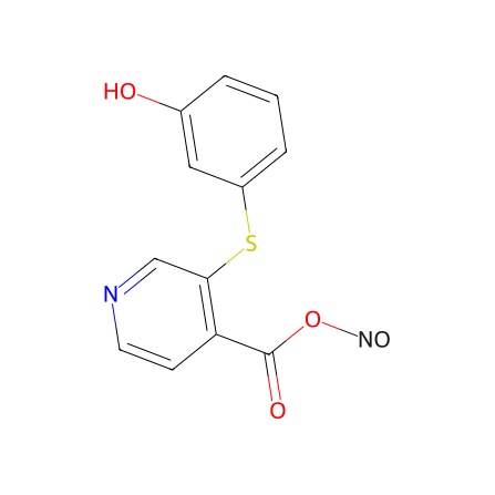 O=NOC(=O)c1ccncc1Sc1cccc(O)c1